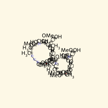 CC[C@@H]1/C=C(\C)C[C@H](C)C[C@H](OC)[C@H]2O[C@@](O)(C(=O)C(=O)N3CCCC[C@H]3C(=O)O[C@H](/C(C)=C/[C@@H]3CC[C@@H](O)[C@H](OC)C3)[C@H](C)[C@@H](O)CC1=O)[C@H](C)C[C@@H]2OC.CO[C@H]1C[C@@H]2CC[C@@H](C)[C@@](O)(O2)C(=O)C(=O)N2CCCC[C@H]2C(=O)O[C@H]([C@H](C)C[C@@H]2CC[C@@H](O)[C@H](OC)C2)CC(=O)[C@H](C)/C=C(\C)[C@@H](O)[C@@H](OC)C(=O)[C@H](C)C[C@H](C)/C=C/C=C/C=C/1C